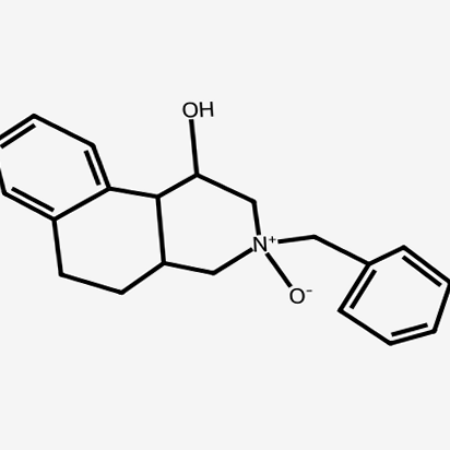 [O-][N+]1(Cc2ccccc2)CC(O)C2c3ccccc3CCC2C1